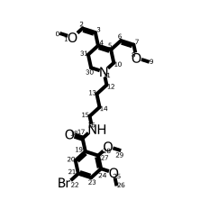 CO/C=C\C1=C(/C=C\OC)CN(CCCCNC(=O)c2cc(Br)cc(OC)c2OC)CC1